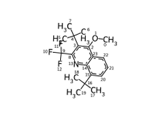 COc1c(C(C)(C)C)c(C(F)(F)F)nc2c(C(C)(C)C)cccc12